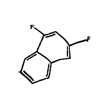 Fc1cc(F)c2c[c]ccc2c1